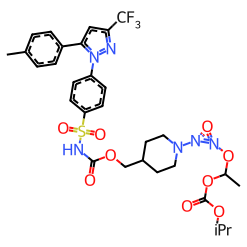 Cc1ccc(-c2cc(C(F)(F)F)nn2-c2ccc(S(=O)(=O)NC(=O)OCC3CCN(n4on4OC(C)OC(=O)OC(C)C)CC3)cc2)cc1